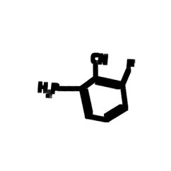 N#Cc1c(F)cccc1P